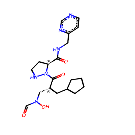 O=CN(O)C[C@@H](CC1CCCC1)C(=O)N1NCC[C@H]1C(=O)NCc1ccncn1